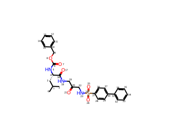 CC(C)C[C@H](NC(=O)OCc1ccccc1)C(=O)NCC(=O)CNS(=O)(=O)c1ccc(-c2ccccc2)cc1